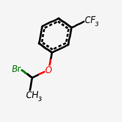 CC(Br)Oc1cccc(C(F)(F)F)c1